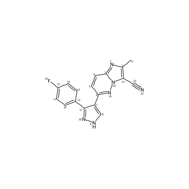 Cc1nc2ccc(-c3c[nH]nc3-c3ccc(F)cc3)nn2c1C#N